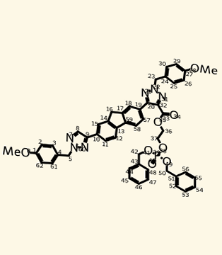 COc1ccc(Cn2ncc(-c3ccc4c(c3)Cc3cc(-c5nn(Cc6ccc(OC)cc6)nc5C(=O)OCCOP(=O)(OCc5ccccc5)OCc5ccccc5)ccc3-4)n2)cc1